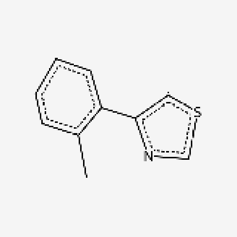 Cc1ccccc1-c1[c]scn1